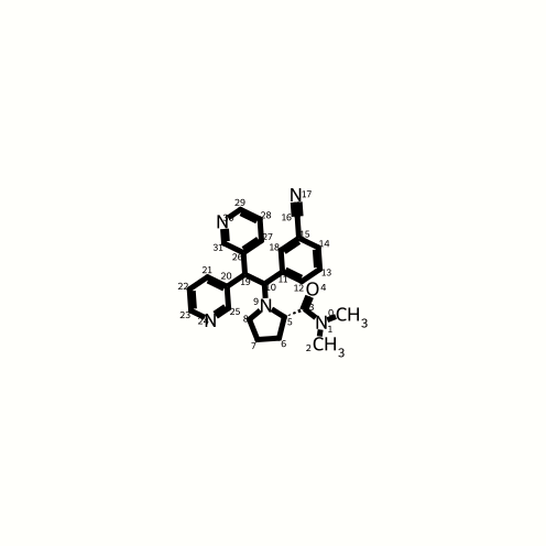 CN(C)C(=O)[C@@H]1CCCN1C(c1cccc(C#N)c1)C(c1cccnc1)c1cccnc1